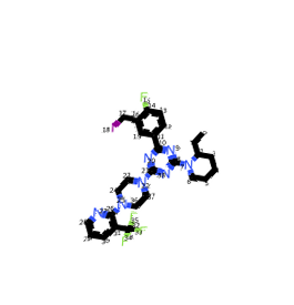 CCC1CCCCN1c1nc(-c2ccc(F)c(CI)c2)nc(N2CCN(c3ncccc3C(F)(F)F)CC2)n1